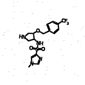 Cn1cnc(S(=O)(=O)NC2CNCC2OCc2ccc(C(F)(F)F)cc2)c1